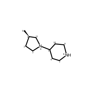 C[C@@H]1CCN(C2CCNCC2)C1